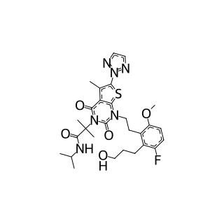 COc1ccc(F)c(CCCO)c1CCn1c(=O)n(C(C)(C)C(=O)NC(C)C)c(=O)c2c(C)c(-n3nccn3)sc21